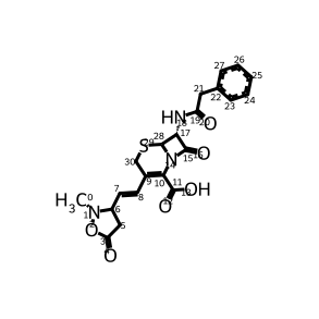 CN1OC(=O)CC1/C=C/C1=C(C(=O)O)N2C(=O)[C@@H](NC(=O)Cc3ccccc3)C2SC1